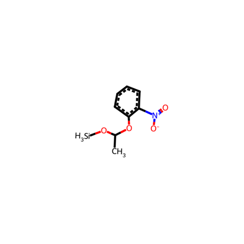 CC(O[SiH3])Oc1ccccc1[N+](=O)[O-]